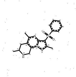 Cc1nc2c(S(=O)(=O)c3ccccc3)c(C)nn2c2c1CC(C)NC2